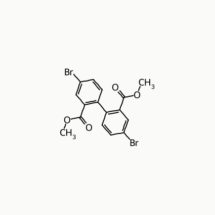 COC(=O)c1cc(Br)ccc1-c1ccc(Br)cc1C(=O)OC